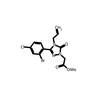 C=CCn1c(-c2ccc(Cl)cc2Br)nn(CC(=O)OC)c1=O